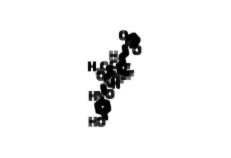 CC(C)C(NC(CCCCCN1C(=O)C=CC1=O)C(F)(F)F)C(=O)NCC(=O)Nc1ccc(CO)cc1